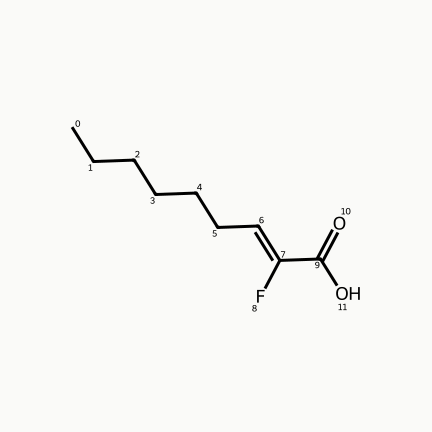 CCCCCC/C=C(\F)C(=O)O